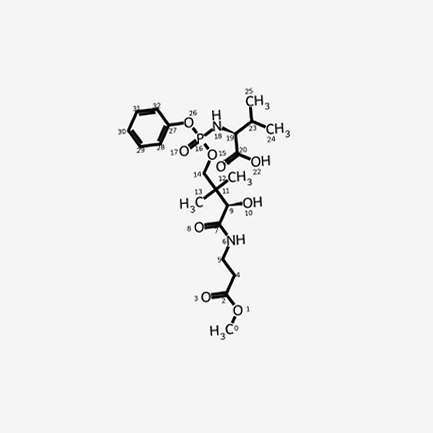 COC(=O)CCNC(=O)[C@H](O)C(C)(C)COP(=O)(N[C@H](C(=O)O)C(C)C)Oc1ccccc1